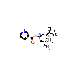 CC/C(C)=C/C=C(\C=C(C)C)SC(=O)c1cccnc1